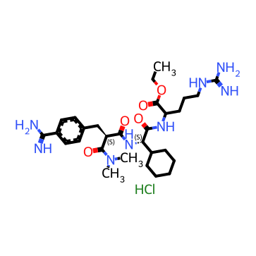 CCOC(=O)C(CCCNC(=N)N)NC(=O)[C@@H](NC(=O)[C@H](Cc1ccc(C(=N)N)cc1)C(=O)N(C)C)C1CCCCC1.Cl